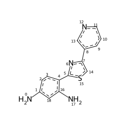 Nc1ccc(-c2nc(-c3cccnc3)cs2)c(N)c1